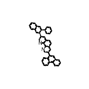 c1ccc(-c2cc3ccccc3cc2-c2cnc3c(ccc4cc(-c5cc6ccccc6c6ccccc56)cnc43)c2)cc1